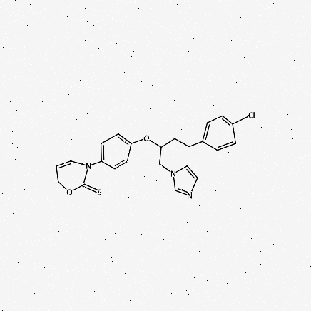 S=C1OCC=CN1c1ccc(OC(CCc2ccc(Cl)cc2)Cn2ccnc2)cc1